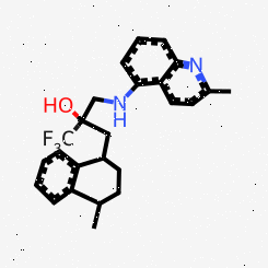 Cc1ccc2c(NCC(O)(CC3CCC(C)c4ccccc43)C(F)(F)F)cccc2n1